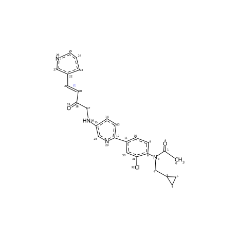 CC(=O)N(CC1CC1)c1ccc(-c2ccc(NCC(=O)/C=C/c3cccnc3)cn2)cc1Cl